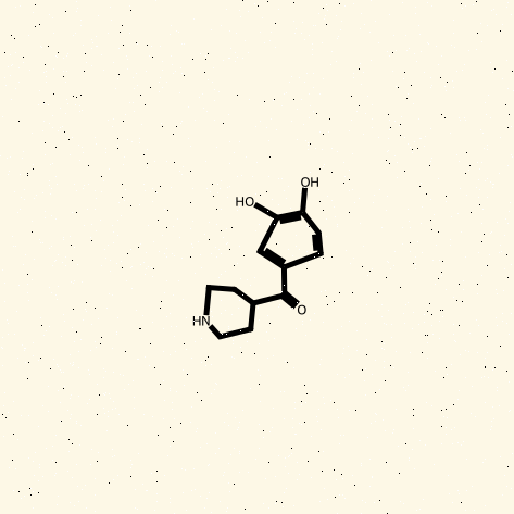 O=C(c1ccc(O)c(O)c1)C1CCNCC1